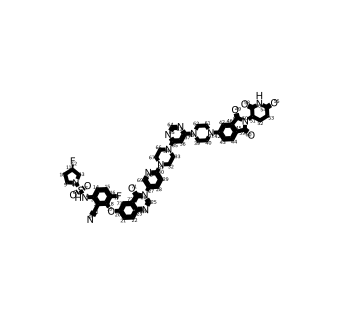 N#Cc1c(NS(=O)(=O)N2CC[C@@H](F)C2)ccc(F)c1Oc1ccc2ncn(-c3ccc(N4CCN(c5cc(N6CCN(c7ccc8c(c7)C(=O)N(C7CCC(=O)NC7=O)C8=O)CC6)ncn5)CC4)nc3)c(=O)c2c1